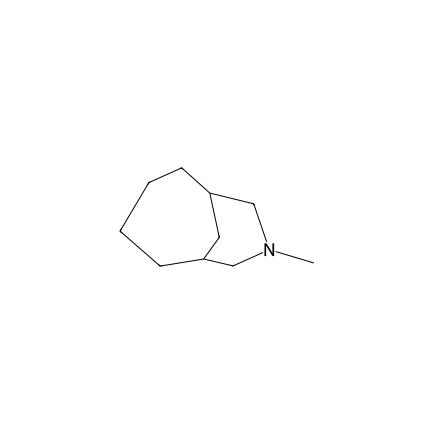 CN1CC2CCCCC(C2)C1